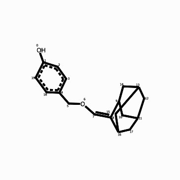 Oc1ccc(COC=C2C3CC4CC(C3)CC2C4)cc1